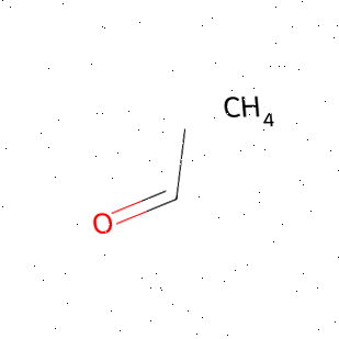 C.CC=O